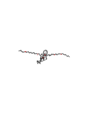 CCCCCCCCCCCCCCCCC(C(=O)CCCCCCCCCCCCCCC)C(=O)[P-]OCC[N+](C)(C)C